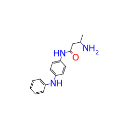 CC(N)CC(=O)Nc1ccc(Nc2ccccc2)cc1